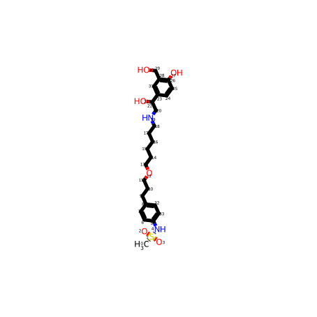 CS(=O)(=O)Nc1ccc(CCCOCCCCCCNCC(O)c2ccc(O)c(CO)c2)cc1